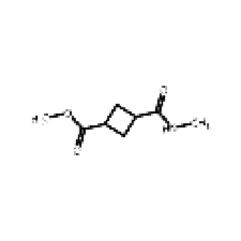 CNC(=O)C1CC(C(=O)OC)C1